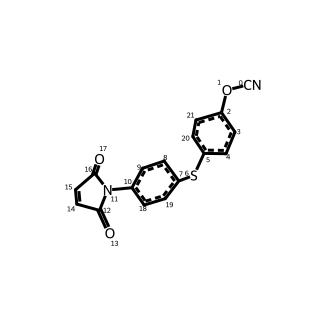 N#COc1ccc(Sc2ccc(N3C(=O)C=CC3=O)cc2)cc1